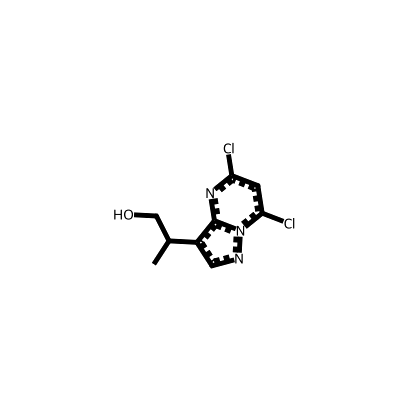 CC(CO)c1cnn2c(Cl)cc(Cl)nc12